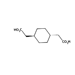 O=C(O)C[C@H]1CC[C@H](CC(=O)O)CC1